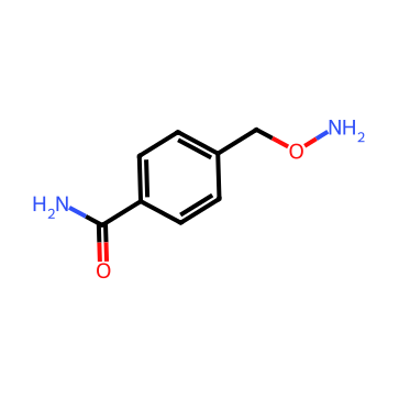 NOCc1ccc(C(N)=O)cc1